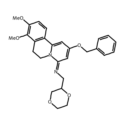 COc1ccc2c(c1OC)CCn1c-2cc(OCc2ccccc2)cc1=NCC1COCCO1